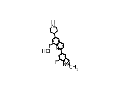 Cl.Cn1cc2cc(-c3ccc4cc(C5CCNCC5)cc(F)c4n3)cc(F)c2n1